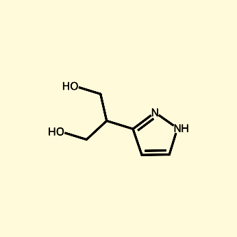 OCC(CO)c1cc[nH]n1